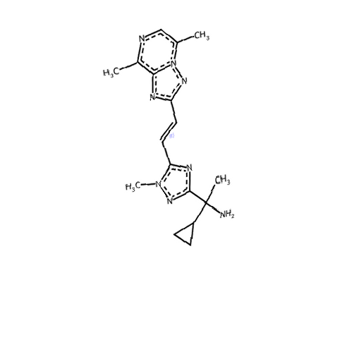 Cc1ncc(C)n2nc(/C=C/c3nc(C(C)(N)C4CC4)nn3C)nc12